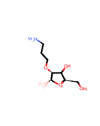 B[C@@H]1O[C@H](CO)C(O)[C@@H]1OCCCN